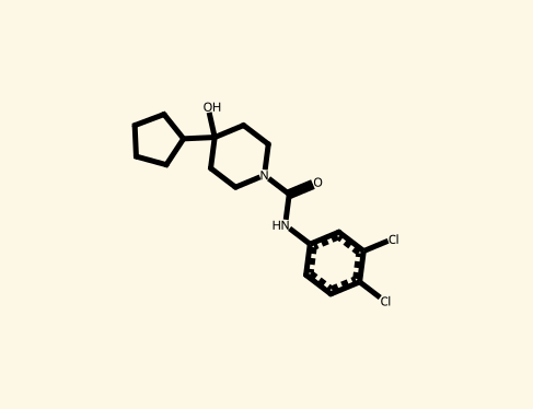 O=C(Nc1ccc(Cl)c(Cl)c1)N1CCC(O)(C2CCCC2)CC1